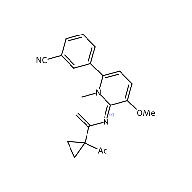 C=C(/N=c1/c(OC)ccc(-c2cccc(C#N)c2)n1C)C1(C(C)=O)CC1